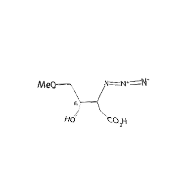 COC[C@@H](O)C(N=[N+]=[N-])C(=O)O